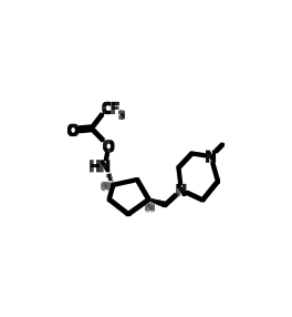 CN1CCN(C[C@H]2CC[C@H](NOC(=O)C(F)(F)F)C2)CC1